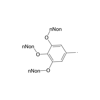 [CH2]c1cc(OCCCCCCCCC)c(OCCCCCCCCC)c(OCCCCCCCCC)c1